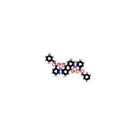 O=C(OCc1ccccc1)c1ccccc1Nc1cccc2c1C(=O)c1cccc(Nc3ccccc3C(=O)OCc3ccccc3)c1C2=O